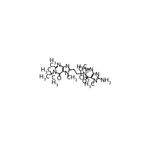 Cc1nc2nc(CCC(C)(C)n3c(C)nc4nc(N)n(C)c4c3=O)n(C)c2c(=O)n1C(C)(C)C